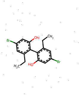 CCc1cc(Br)cc(O)c1-c1c(O)cc(Br)cc1CC